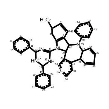 CC1C=CC2=C(C1)N(C1=NC(c3ccccc3)NC(c3ccccc3)N1)C1c3ccccc3C3C=CC=CC3N(c3ccccc3)C21